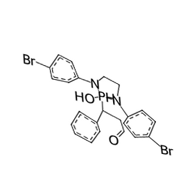 O=CCC(c1ccccc1)[PH]1(O)N(c2ccc(Br)cc2)CCN1c1ccc(Br)cc1